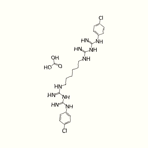 N=C(NCCCCCCNC(=N)NC(=N)Nc1ccc(Cl)cc1)NC(=N)Nc1ccc(Cl)cc1.O=C(O)O